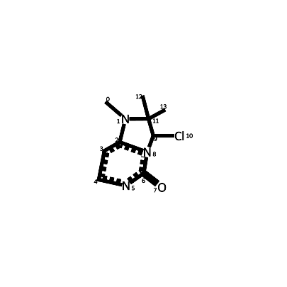 CN1c2ccnc(=O)n2C(Cl)C1(C)C